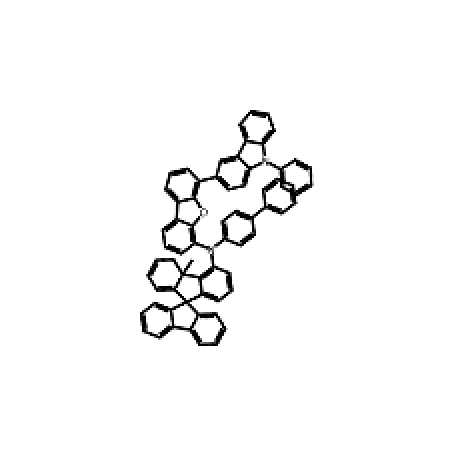 CC12CC=CC=C1C1(c3ccccc3-c3ccccc31)c1cccc(N(c3ccc(-c4ccccc4)cc3)c3cccc4c3oc3c(-c5ccc6c(c5)c5ccccc5n6-c5ccccc5)cccc34)c12